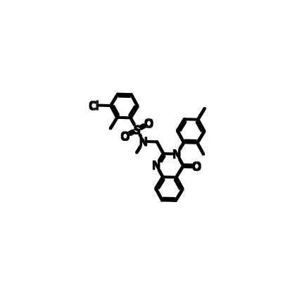 Cc1ccc(-n2c(CN(C)S(=O)(=O)c3cccc(Cl)c3C)nc3ccccc3c2=O)c(C)c1